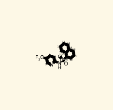 O=S(=O)(Nc1ccc(C(F)(F)F)cn1)c1cccc2ccccc12